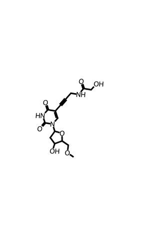 COCC1OC(n2cc(C#CCNC(=O)CO)c(=O)[nH]c2=O)CC1O